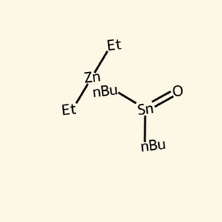 CCC[CH2][Sn](=[O])[CH2]CCC.C[CH2][Zn][CH2]C